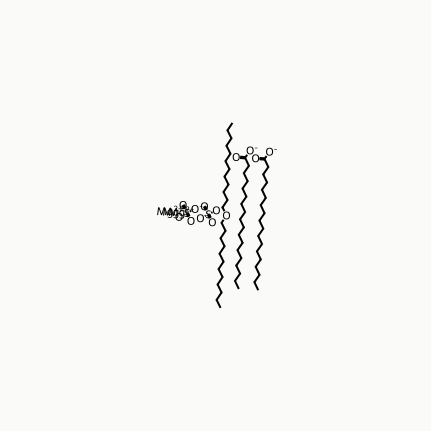 CCCCCCCCCCCCCCCCCC(=O)[O-].CCCCCCCCCCCCCCCCCC(=O)[O-].CCCCCCCCCCCCOCCCCCCCCCCCC.O=S(=O)([O-])[O-].O=S(=O)([O-])[O-].[Mg+2].[Mg+2].[Mg+2]